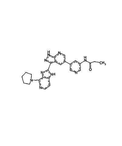 CCC(=O)Nc1cncc(-c2cnc3[nH]nc(-c4nc5c(N6CCCCC6)nccc5[nH]4)c3c2)c1